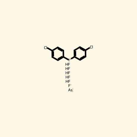 Clc1ccc([I+]c2ccc(Cl)cc2)cc1.F.F.F.F.F.[As].[F-]